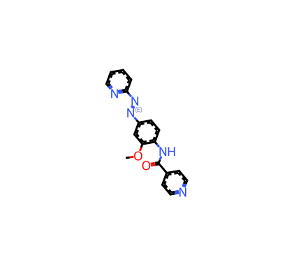 COc1cc(/N=N/c2ccccn2)ccc1NC(=O)c1ccncc1